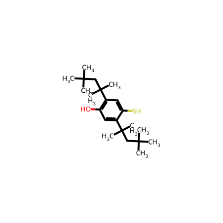 CC(C)(C)CC(C)(C)c1cc(S)c(C(C)(C)CC(C)(C)C)cc1O